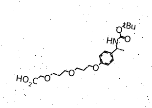 C[C@H](NC(=O)OC(C)(C)C)c1ccc(OCCCOCCCOCC(=O)O)cc1